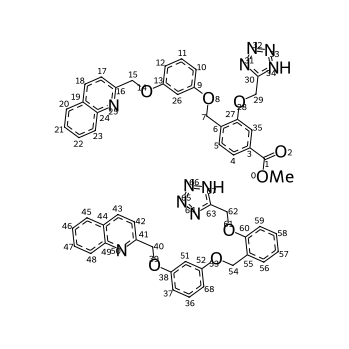 COC(=O)c1ccc(COc2cccc(OCc3ccc4ccccc4n3)c2)c(OCc2nnn[nH]2)c1.c1cc(OCc2ccc3ccccc3n2)cc(OCc2ccccc2OCc2nnn[nH]2)c1